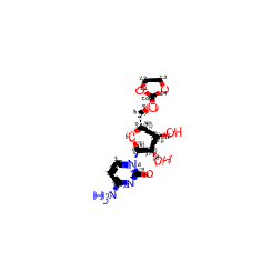 Nc1ccn([C@@H]2O[C@H](COC3OCCO3)[C@@H](O)[C@H]2O)c(=O)n1